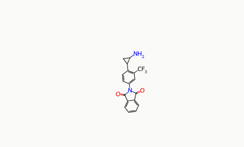 NC1CC1c1ccc(N2C(=O)c3ccccc3C2=O)cc1C(F)(F)F